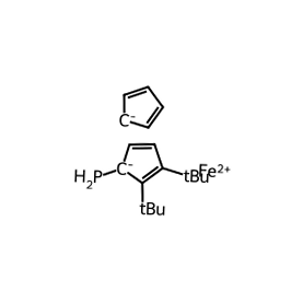 CC(C)(C)c1cc[c-](P)c1C(C)(C)C.[Fe+2].c1cc[cH-]c1